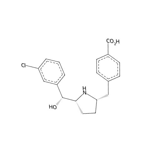 O=C(O)c1ccc(C[C@@H]2CC[C@H]([C@H](O)c3cccc(Cl)c3)N2)cc1